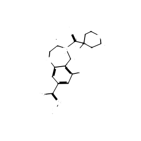 C[C@H]1COc2cc(C(N)=NO)cc(F)c2CN1C(=O)C1(C)CCOCC1